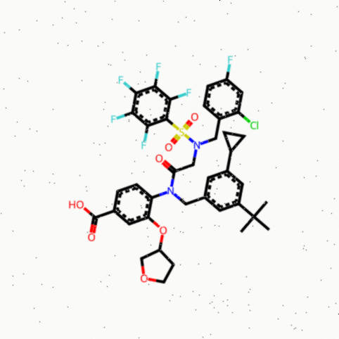 CC(C)(C)c1cc(CN(C(=O)CN(Cc2ccc(F)cc2Cl)S(=O)(=O)c2c(F)c(F)c(F)c(F)c2F)c2ccc(C(=O)O)cc2OC2CCOC2)cc(C2CC2)c1